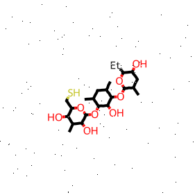 CCC1OC(OC2C(C)CC(C)C(OC3OC(CS)C(O)C(C)C3O)C2O)C(C)CC1O